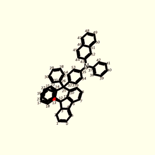 C1=CCC2C(=C1)c1cccc3c1C2(c1ccccc1)c1ccccc1C3(c1ccccc1)c1ccc(N(c2ccccc2)c2ccc3ccccc3c2)cc1